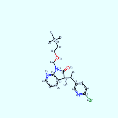 CC(c1ccc(Br)nc1)[C@]1(C)C(=O)N(COCC[Si](C)(C)C)c2ncccc21